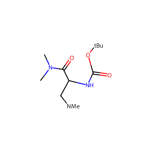 CNCC(NC(=O)OC(C)(C)C)C(=O)N(C)C